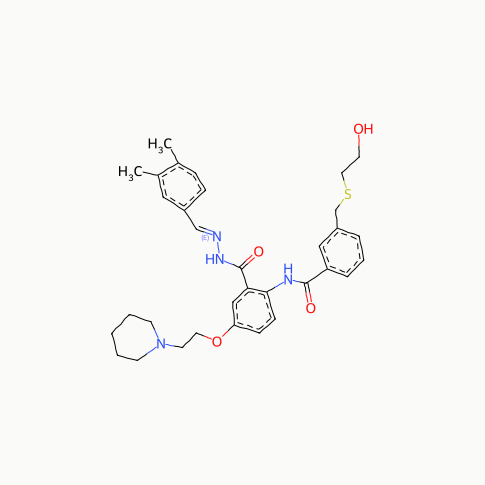 Cc1ccc(/C=N/NC(=O)c2cc(OCCN3CCCCC3)ccc2NC(=O)c2cccc(CSCCO)c2)cc1C